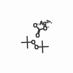 CC(C)(C)OOC(C)(C)C.O=C([O-])[O-].[Ag+2]